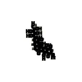 CCOC1=CC(=O)c2c(O)c3c(c(O)c2C1=O)C(=O)[C@@]1(CCc2cc4cc(C(O)C(O)C(O)C(C)O)[nH]c(=O)c4c(O)c21)C3=O